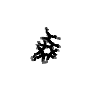 F/C(=C(/F)N1C(F)(F)C(F)(F)C(F)(F)C(F)(F)C1(F)F)C(F)F